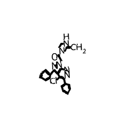 C=C1CN(C(=O)Cn2nc(-c3ccccc3)c3c(Cl)c(-c4ccccc4)nnc32)CCN1